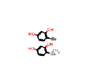 C.CC(C)(C)c1ccc(O)cc1O.CC(C)(C)c1ccc(O)cc1O